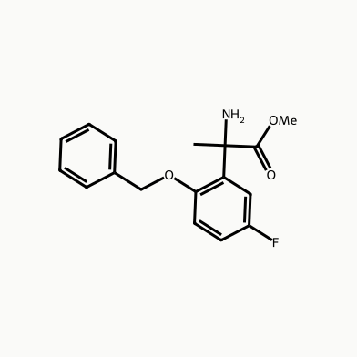 COC(=O)C(C)(N)c1cc(F)ccc1OCc1ccccc1